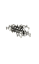 CN(C)c1cc(C(=O)CC(C)(C)C)c(O)c2c1C[C@H]1C[C@H]3CC(O)=C(C(N)=O)C(=O)[C@@]3(O)C(O)=C1C2=O